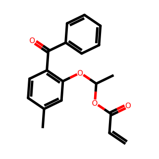 C=CC(=O)OC(C)Oc1cc(C)ccc1C(=O)c1ccccc1